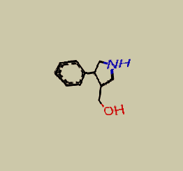 OCC1CNCC1c1ccccc1